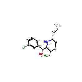 CCC[C@@H]1CCC[C@@H]([C@H](O)c2cccc(F)c2)N1.Cl